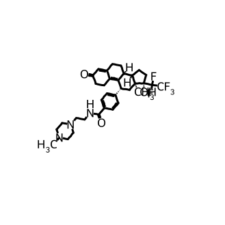 CN1CCN(CCNC(=O)c2ccc([C@H]3C[C@@]4(C)[C@@H](CC[C@@]4(O)C(F)(F)C(F)(F)F)[C@@H]4CCC5=CC(=O)CCC5=C43)cc2)CC1